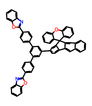 c1ccc2c(c1)Oc1ccccc1C21c2cc(-c3cc(-c4ccc(-c5nc6ccccc6o5)cc4)cc(-c4ccc(-c5nc6ccccc6o5)cc4)c3)ccc2-c2cc3ccccc3cc21